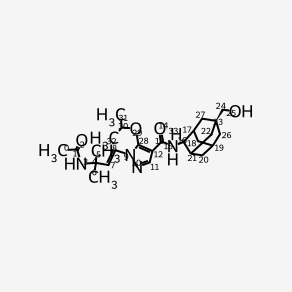 CC(=O)NC(C)(C)/C=C/n1ncc(C(=O)N[C@H]2C3CC4CC2C[C@@](CO)(C4)C3)c1OC(C)C